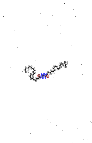 CC/C=C\C/C=C\C/C=C\C/C=C\C/C=C\C/C=C\CCC(=O)NCCNC(=O)CCC/C=C\C/C=C\C/C=C\C/C=C\C/C=C\CC